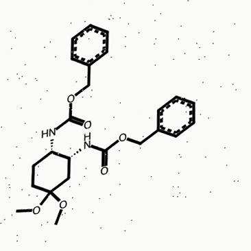 COC1(OC)CC[C@H](NC(=O)OCc2ccccc2)[C@H](NC(=O)OCc2ccccc2)C1